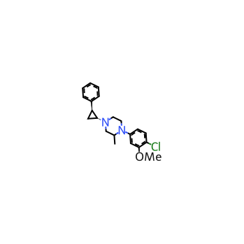 COc1cc(N2CCN([C@@H]3C[C@H]3c3ccccc3)CC2C)ccc1Cl